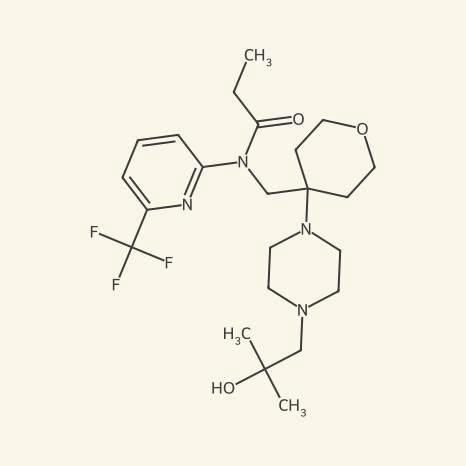 CCC(=O)N(CC1(N2CCN(CC(C)(C)O)CC2)CCOCC1)c1cccc(C(F)(F)F)n1